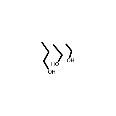 CCCO.CCO.CCO